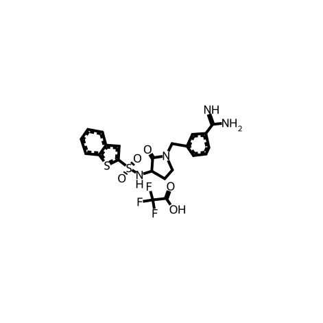 N=C(N)c1cccc(CN2CCC(NS(=O)(=O)c3cc4ccccc4s3)C2=O)c1.O=C(O)C(F)(F)F